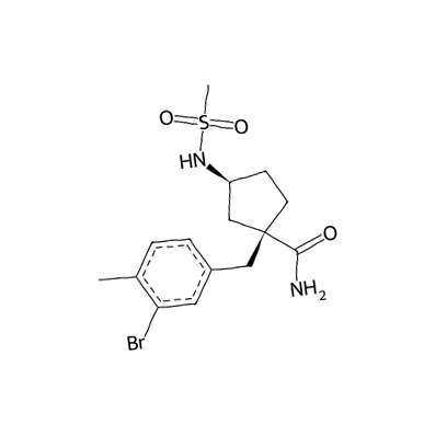 Cc1ccc(C[C@]2(C(N)=O)CC[C@H](NS(C)(=O)=O)C2)cc1Br